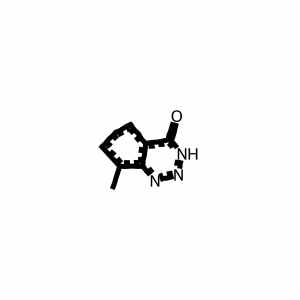 Cc1cccc2c(=O)[nH]nnc12